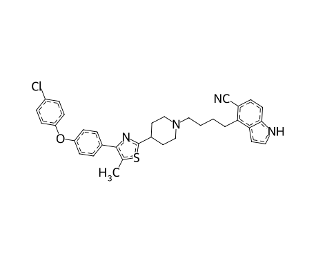 Cc1sc(C2CCN(CCCCc3c(C#N)ccc4[nH]ccc34)CC2)nc1-c1ccc(Oc2ccc(Cl)cc2)cc1